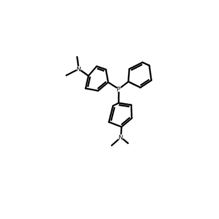 CN(C)c1ccc(P(c2ccc(N(C)C)cc2)C2C=CCC=C2)cc1